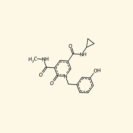 CNC(=O)c1cc(C(=O)NC2CC2)cn(Cc2cccc(O)c2)c1=O